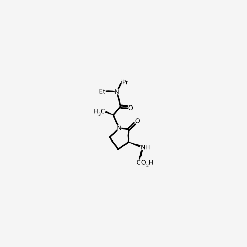 CCN(C(=O)[C@H](C)N1CC[C@H](NC(=O)O)C1=O)C(C)C